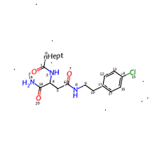 CCCCCCCC(=O)NC(CC(=O)NCCc1ccc(Cl)cc1)C(N)=O